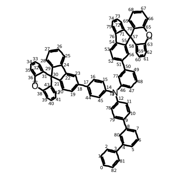 c1ccc(-c2cccc(-c3ccc(N(c4ccc(-c5ccc6c(c5)-c5ccccc5C65c6ccccc6Oc6ccccc65)cc4)c4cccc(-c5ccc6c(c5)C5(c7ccccc7Oc7ccccc75)c5ccccc5-6)c4)cc3)c2)cc1